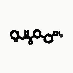 Cc1cccc(-c2cccc(C(=O)NCc3ccccn3)c2)c1